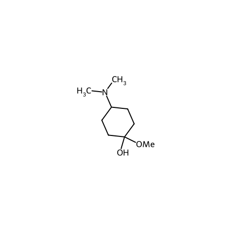 COC1(O)CCC(N(C)C)CC1